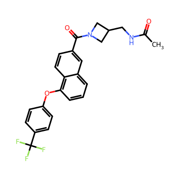 CC(=O)NCC1CN(C(=O)c2ccc3c(Oc4ccc(C(F)(F)F)cc4)cccc3c2)C1